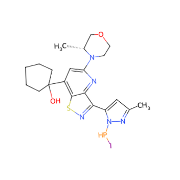 Cc1cc(-c2nsc3c(C4(O)CCCCC4)cc(N4CCOC[C@H]4C)nc23)n(PI)n1